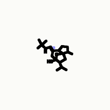 CC(C)C1CC23OC1(O)C/C(=C\NC(C)(C)C)C2CCC3C